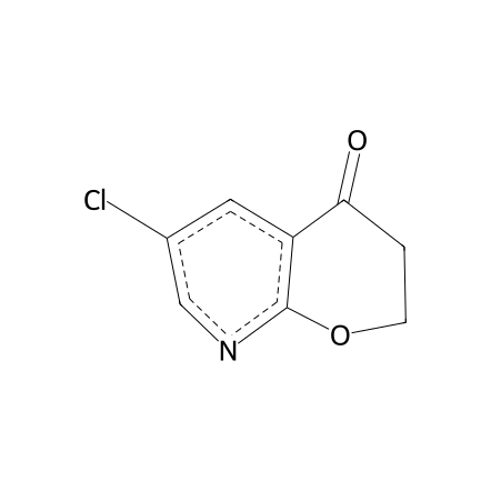 O=C1CCOc2ncc(Cl)cc21